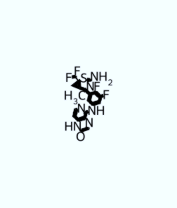 C[C@]1(c2cc(Nc3nccc4[nH]c(=O)cnc34)cc(F)c2F)N=C(N)S[C@@]2(C(F)F)CC21